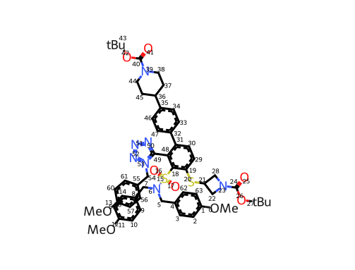 COc1ccc(CN(Cc2ccc(OC)cc2)S(=O)(=O)c2c(SC3CN(C(=O)OC(C)(C)C)C3)ccc(-c3ccc(C4CCN(C(=O)OC(C)(C)C)CC4)cc3)c2-c2nnnn2Cc2ccc(OC)cc2)cc1